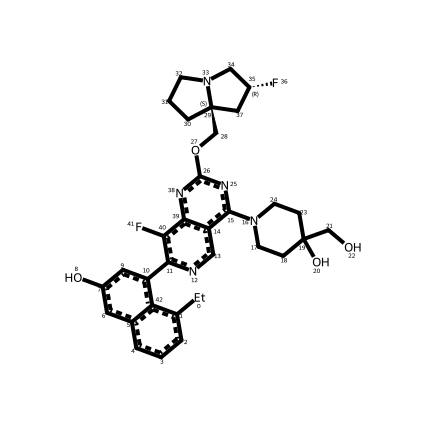 CCc1cccc2cc(O)cc(-c3ncc4c(N5CCC(O)(CO)CC5)nc(OC[C@@]56CCCN5C[C@H](F)C6)nc4c3F)c12